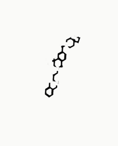 CC1(C)CN(C[C@H](O)[C@H]2Cc3ccccc3CN2)C(=O)c2ccc(C(=O)N3CCC4(CCN4)CC3)cc21.Cl